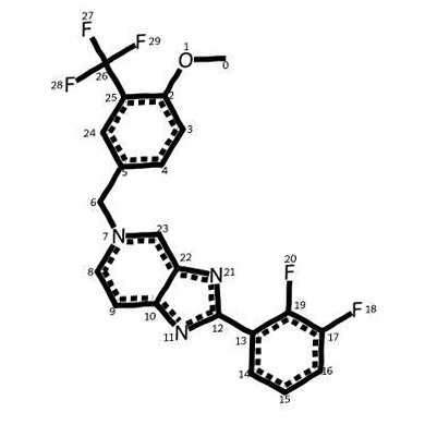 COc1ccc(Cn2ccc3nc(-c4cccc(F)c4F)nc-3c2)cc1C(F)(F)F